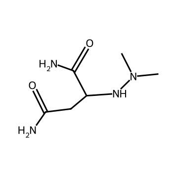 CN(C)NC(CC(N)=O)C(N)=O